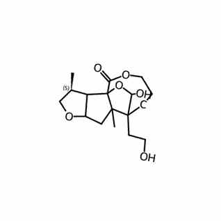 C[C@@H]1COC2CC3(C)C4(CCO)CCCOC(=O)C3(OC4O)C21